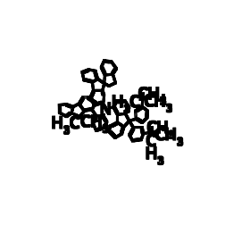 CC(C)(C)c1cccc(C2(c3cccc(C(C)(C)C)c3)c3ccccc3-c3c(N(c4ccc5c(c4)C4(CCc6ccccc64)c4ccccc4-5)c4ccccc4-c4cccc5c4C(C)(C)c4ccccc4-5)cccc32)c1